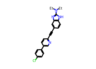 CCN(CC)c1nc2cc(C#Cc3ccc(-c4ccc(Cl)cc4)cn3)ccc2[nH]1